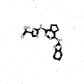 O=C(O)c1csc(Nc2nnc(Nc3nc4ccccc4s3)c3c2CCC3)n1